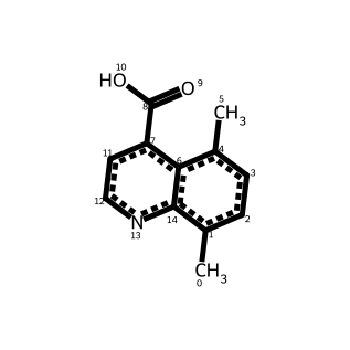 Cc1ccc(C)c2c(C(=O)O)ccnc12